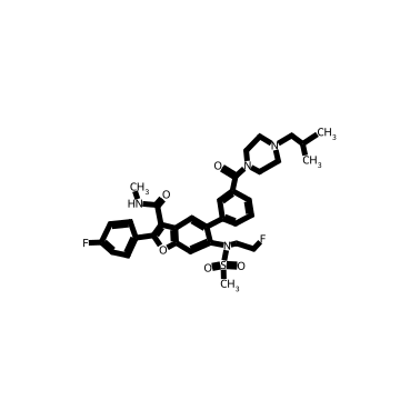 CNC(=O)c1c(-c2ccc(F)cc2)oc2cc(N(CCF)S(C)(=O)=O)c(-c3cccc(C(=O)N4CCN(CC(C)C)CC4)c3)cc12